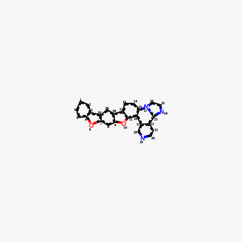 c1ccc2c(c1)oc1cc3oc4c(ccc5c4c4cnccc4c4nccn54)c3cc12